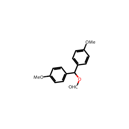 COc1ccc(C(O[C]=O)c2ccc(OC)cc2)cc1